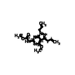 C=CCc1nn(CC=C)c2nc(NC(=O)OC)nc(OC)c12